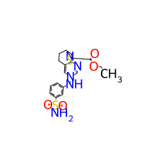 CCOC(=O)C1=NC2CCCC3=CN(Nc4cccc(S(N)(=O)=O)c4)C=NC32S1